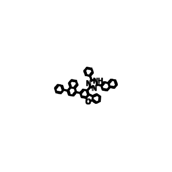 c1ccc(C2=NC(c3cc(-c4ccc(-c5ccccc5)c5ccccc45)cc4oc5ccccc5c34)=NC(c3ccc4ccccc4c3)N2)cc1